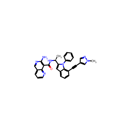 C[C@H](NC(=O)c1c(N)ncc2cccnc12)c1cc2cccc(C#Cc3cnn(C)c3)c2n1-c1ccccc1